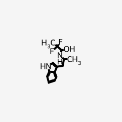 CC(Cc1c[nH]c2ccccc12)NC(O)C(C)(F)F